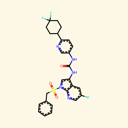 O=C(Nc1ccc(C2CCC(F)(F)CC2)nc1)Nc1cn(S(=O)(=O)Cc2ccccc2)c2ncc(F)cc12